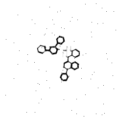 C1=CC2=NC(n3c4ccccc4c4c5sc6c(c5ccc43)C=CCC6)=NC(C3=CC4Sc5ccccc5C4c4ccccc43)C2C=C1